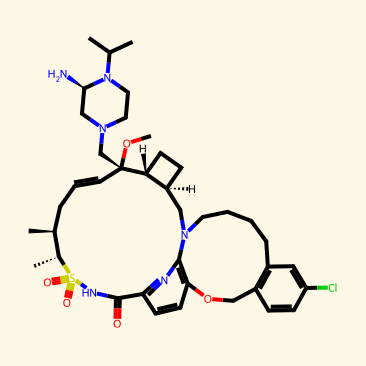 CO[C@@]1(CN2CCN(C(C)C)[C@H](N)C2)/C=C/C[C@H](C)[C@@H](C)S(=O)(=O)NC(=O)c2ccc3c(n2)N(CCCCc2cc(Cl)ccc2CO3)C[C@@H]2CC[C@H]21